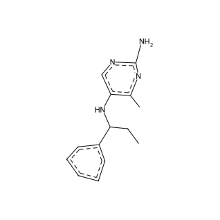 CCC(Nc1cnc(N)nc1C)c1ccccc1